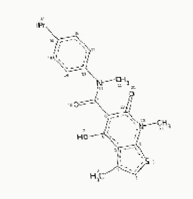 Cc1csc2c1c(O)c(C(=O)N(C)c1ccc(C(C)C)cc1)c(=O)n2C